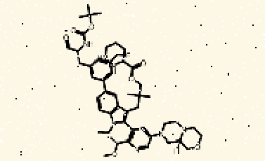 CCn1c(-c2cc(N3CCN4CCOC[C@@H]4C3)cnc2[C@H](C)OC)c(CC(C)(C)COC(=O)C2CCCNN2)c2cc(-c3cc(CF)cc(C[C@@H](C=O)NC(=O)OC(C)(C)C)c3)ccc21